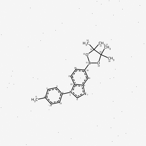 Cc1ccc(-n2cnc3cc(B4OC(C)(C)C(C)(C)O4)ccc32)cc1